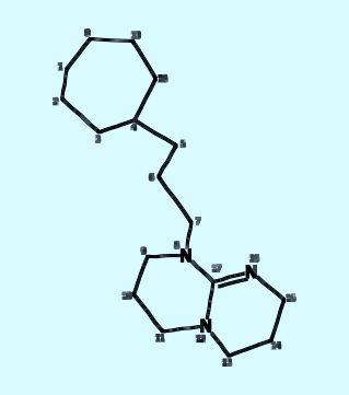 C1CCCC(CCCN2CCCN3CCCN=C32)CC1